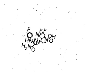 N#C[C@@H]1C(CC(F)(F)F)N(C(=O)O)CC[C@H]1n1cc(C(N)=O)c(Nc2ccc(F)cc2)n1